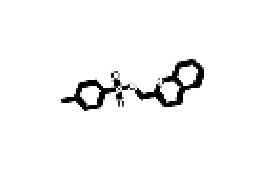 Cc1ccc(S(=O)(=O)OCC2=CC=C3C=CC=CC3O2)cc1